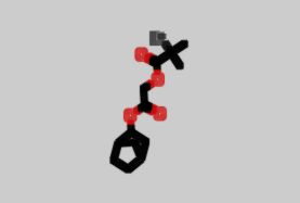 CCC(C)(C)C(=O)OCC(=O)OC1CC2CCC1C2